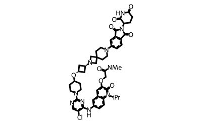 CNC(=O)COc1cc2cc(Nc3nc(N4CCC(O[C@H]5C[C@H](N6CC7(CCN(c8ccc9c(c8)C(=O)N(C8CCC(=O)NC8=O)C9=O)CC7)C6)C5)CC4)ncc3Cl)ccc2n(C(C)C)c1=O